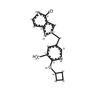 Cc1cc(Cn2cc3c(Cl)nccc3n2)cnc1OC1CCC1